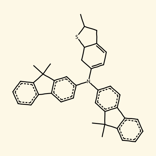 CC1CC2=CC=C(N(c3ccc4c(c3)C(C)(C)c3ccccc3-4)c3ccc4c(c3)C(C)(C)c3ccccc3-4)CC2S1